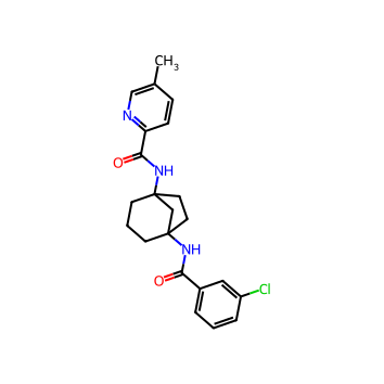 Cc1ccc(C(=O)NC23CCCC(NC(=O)c4cccc(Cl)c4)(CC2)C3)nc1